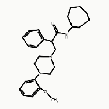 COc1ccccc1N1CCN(CC(C(=O)NC2CCCCCC2)c2ccccc2)CC1